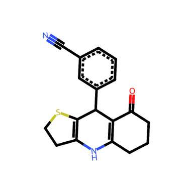 N#Cc1cccc(C2C3=C(CCS3)NC3=C2C(=O)CCC3)c1